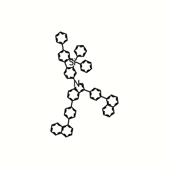 c1ccc(-c2ccc3c(c2)[Si](c2ccccc2)(c2ccccc2)c2cc(-n4cc(-c5ccc(-c6cccc7ccccc67)cc5)c5cc(-c6ccc(-c7cccc8ccccc78)cc6)ccc54)ccc2-3)cc1